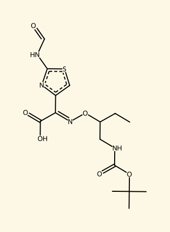 CCC(CNC(=O)OC(C)(C)C)O/N=C(/C(=O)O)c1csc(NC=O)n1